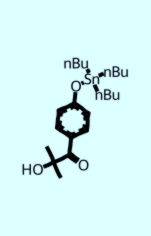 CCC[CH2][Sn]([CH2]CCC)([CH2]CCC)[O]c1ccc(C(=O)C(C)(C)O)cc1